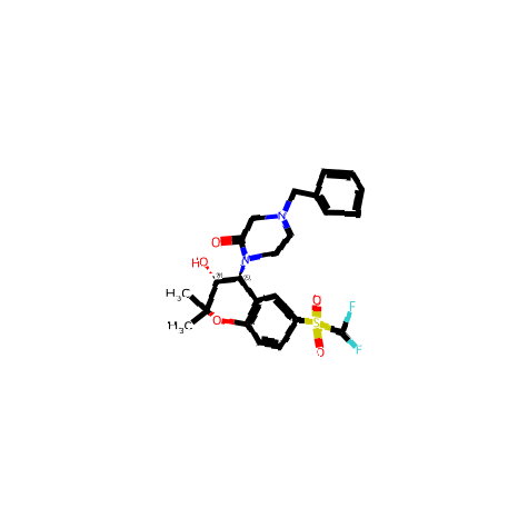 CC1(C)Oc2ccc(S(=O)(=O)C(F)F)cc2[C@H](N2CCN(Cc3ccccc3)CC2=O)[C@H]1O